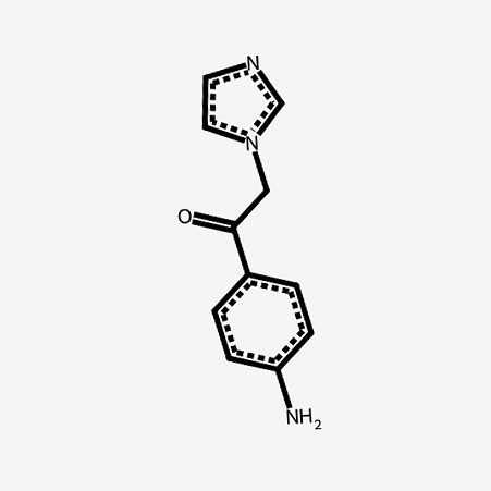 Nc1ccc(C(=O)Cn2ccnc2)cc1